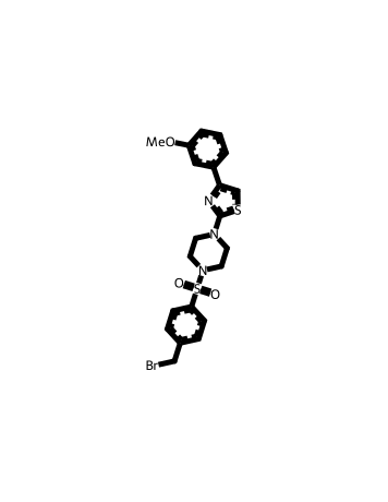 COc1cccc(-c2csc(N3CCN(S(=O)(=O)c4ccc(CBr)cc4)CC3)n2)c1